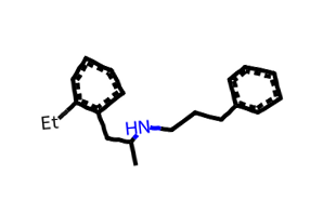 CCc1ccccc1CC(C)NCCCc1ccccc1